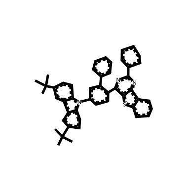 CC(C)(C)c1ccc2c(c1)c1cc(C(C)(C)C)ccc1n2-c1ccc(-c2nc(-c3ccccc3)nc3c2sc2ccccc23)c(-c2ccccc2)c1